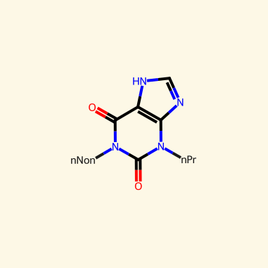 CCCCCCCCCn1c(=O)c2[nH]cnc2n(CCC)c1=O